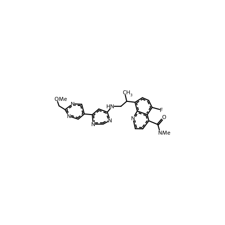 CNC(=O)c1ccnc2c(C(C)CNc3cc(-c4cnc(COC)nc4)ncn3)ccc(F)c12